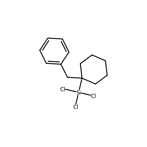 Cl[Si](Cl)(Cl)C1(Cc2ccccc2)CCCCC1